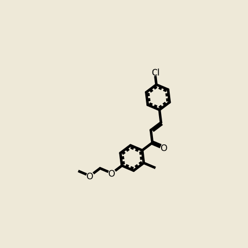 COCOc1ccc(C(=O)/C=C/c2ccc(Cl)cc2)c(C)c1